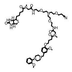 COc1cc(CN2CCN(c3ccccc3OC)CC2)ccc1OCCCC(=O)N(C)CC(=O)NCCOCCN(CCOCCC#N)CCOCCNC(=O)CN(C)C(=O)CCCCC1SC[C@@H]2NC(=O)N[C@H]12